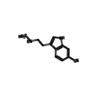 N#Cc1ccc2c(CCNC(=O)O)c[nH]c2c1